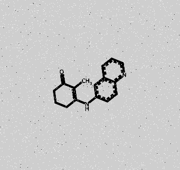 CC1=C(Nc2ccc3ncccc3c2)CCCC1=O